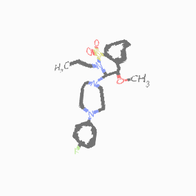 CCCN1C(N2CCN(c3ccc(F)cc3)CC2)C(OC)c2ccccc2S1(=O)=O